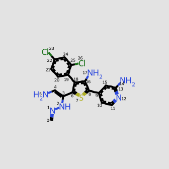 C=NN/C(=C\N)c1sc(-c2ccnc(N)c2)c(N)c1-c1ccc(Cl)cc1Cl